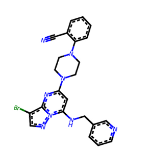 N#Cc1ccccc1N1CCN(c2cc(NCc3cccnc3)n3ncc(Br)c3n2)CC1